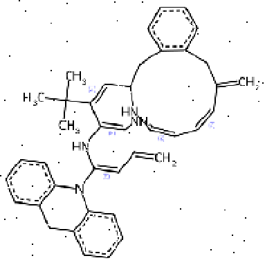 C=C/C=C(\NC(=C/N)/C(=C\C1Cc2ccccc2CC(=C)/C=C\C=C/N1)C(C)(C)C)N1c2ccccc2Cc2ccccc21